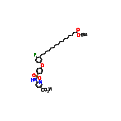 CC(C)(C)OC(=O)CCCCCCCCCCCCCCCc1cc(Oc2ccc(S(=O)(=O)Nc3ccc(C(=O)O)cn3)cc2)ccc1F